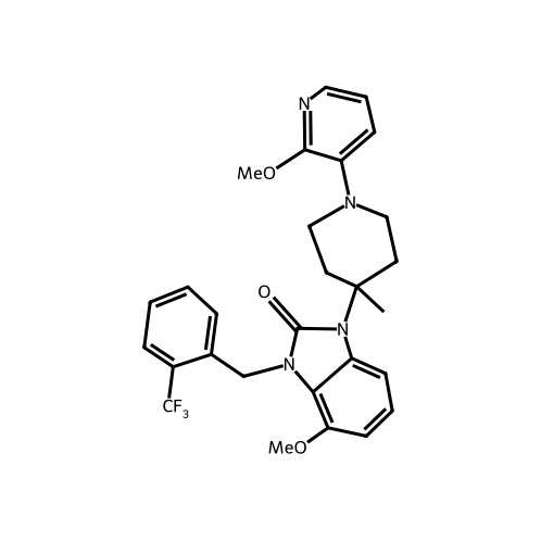 COc1ncccc1N1CCC(C)(n2c(=O)n(Cc3ccccc3C(F)(F)F)c3c(OC)cccc32)CC1